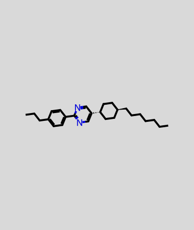 CCCCCCC[C@H]1CC[C@H](c2cnc(-c3ccc(CCC)cc3)nc2)CC1